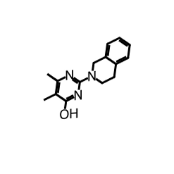 Cc1nc(N2CCc3ccccc3C2)nc(O)c1C